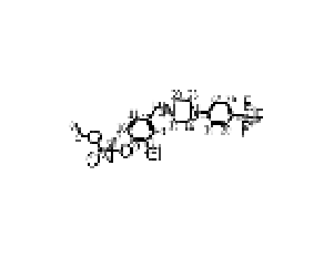 CCOC(=O)C(C)(C)Oc1ccc(CN2CCN(c3ccc(C(F)(F)F)cc3)CC2)cc1Cl